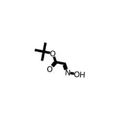 CC(C)(C)OC(=O)C=NO